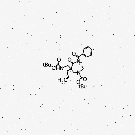 C=CC[C@]1(CNC(=O)OC(C)(C)C)CN(C(=O)OC(C)(C)C)CCN(C(=O)c2ccccc2)C1=O